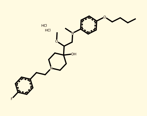 CCCCOc1ccc(N(C)CC(OC)C2(O)CCN(CCc3ccc(F)cc3)CC2)cc1.Cl.Cl